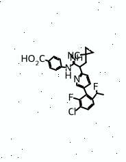 CC(F)c1ccc(Cl)c(F)c1-c1ccc(C(CC2(C#N)CC2)C(=N)Nc2ccc(C(=O)O)cc2)nc1